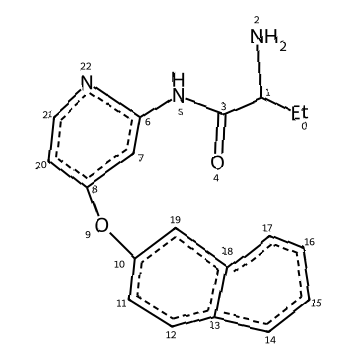 CCC(N)C(=O)Nc1cc(Oc2ccc3ccccc3c2)ccn1